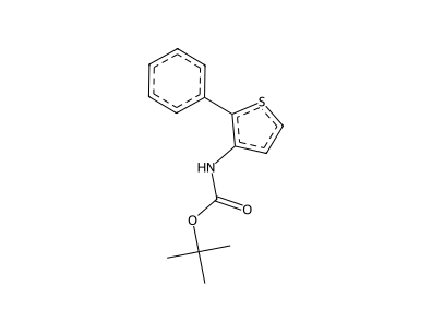 CC(C)(C)OC(=O)Nc1ccsc1-c1ccccc1